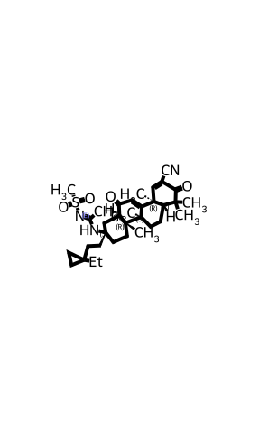 CCC1(CC[C@]2(N/C(C)=N/S(C)(=O)=O)CC[C@]3(C)[C@@H](C2)C(=O)C=C2[C@@]4(C)C=C(C#N)C(=O)C(C)(C)[C@@H]4CC[C@]23C)CC1